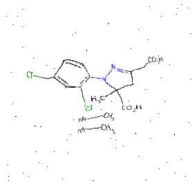 CC1(C(=O)O)CC(C(=O)O)=NN1c1ccc(Cl)cc1Cl.CCCC.CCCC